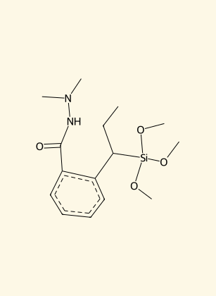 CCC(c1ccccc1C(=O)NN(C)C)[Si](OC)(OC)OC